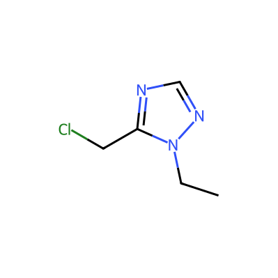 CCn1ncnc1CCl